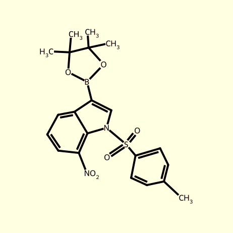 Cc1ccc(S(=O)(=O)n2cc(B3OC(C)(C)C(C)(C)O3)c3cccc([N+](=O)[O-])c32)cc1